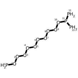 POOOOOOOOOOP(P)P